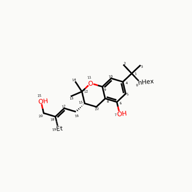 CCCCCCC(C)(C)c1cc(O)c2c(c1)OC(C)(C)[C@@H](C/C=C(\CC)CO)C2